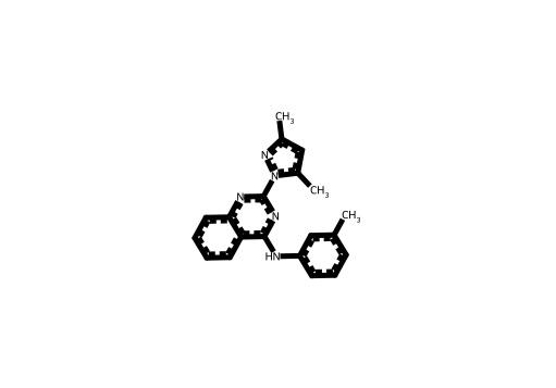 Cc1cccc(Nc2nc(-n3nc(C)cc3C)nc3ccccc23)c1